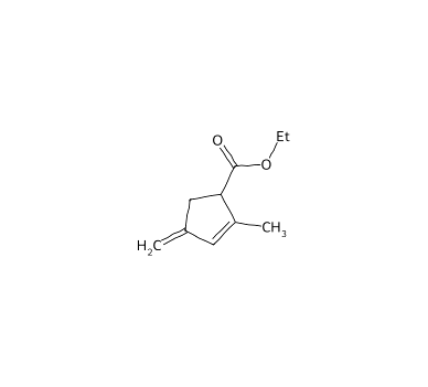 C=C1C=C(C)C(C(=O)OCC)C1